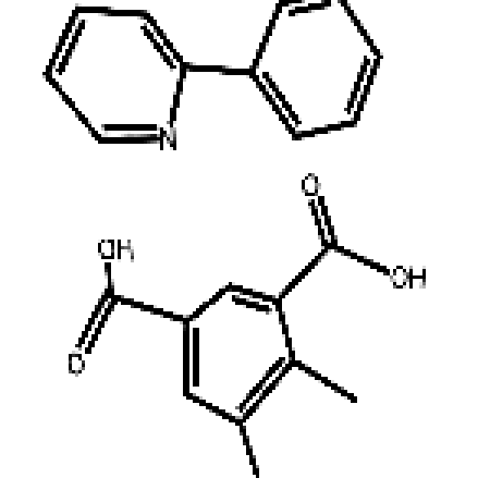 Cc1c(Br)cc(C(=O)O)cc1C(=O)O.c1ccc(-c2ccccn2)cc1